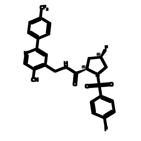 N#Cc1cnc(-c2ccc(C(F)(F)F)cc2)cc1CNC(=O)[C@@H]1C[C@@H](F)CN1S(=O)(=O)c1ccc(F)cc1